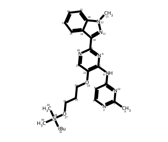 Cc1nccc(Nc2nc(-c3nn(C)c4ccccc34)ncc2OCCCO[Si](C)(C)C(C)(C)C)n1